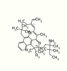 C=C/C(=C/C1=C(C)C2=N[C@](C)(CCC(C)(N)C(C)(C)CC)C(C)(C)c3c2c(c(CC(C)(C)C)c2ccccc32)O1)CC